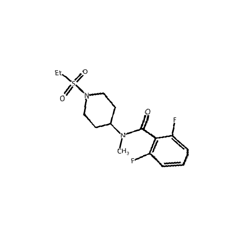 CCS(=O)(=O)N1CCC(N(C)C(=O)c2c(F)cccc2F)CC1